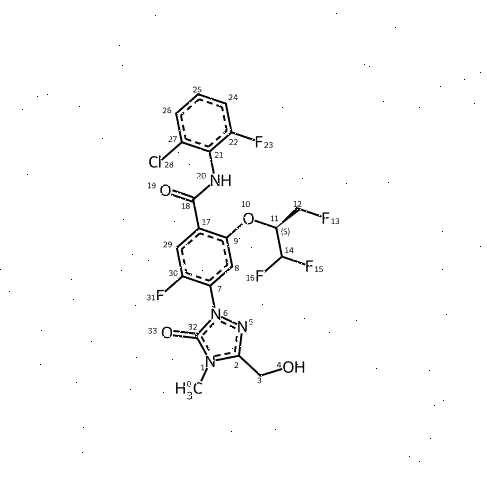 Cn1c(CO)nn(-c2cc(O[C@@H](CF)C(F)F)c(C(=O)Nc3c(F)cccc3Cl)cc2F)c1=O